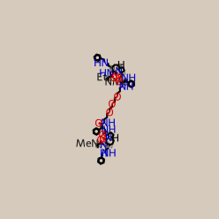 CC[C@H](NC)C(=O)N[C@@H]1C(=O)N2[C@@H](CC[C@@H]1CCNCc1ccccc1)CC[C@H]2C(=O)N[C@H](C(=O)NCCCOCCOCCOCCCNC(=O)[C@@H](NC(=O)[C@@H]1CC[C@@H]2CC[C@H](CCNCc3ccccc3)[C@H](NC(=O)[C@H](C)NC)C(=O)N21)c1ccccc1)c1ccccc1